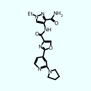 CCn1cc(NC(=O)c2coc(-c3ccnc(N4CCCC4)c3)n2)c(C(N)=O)n1